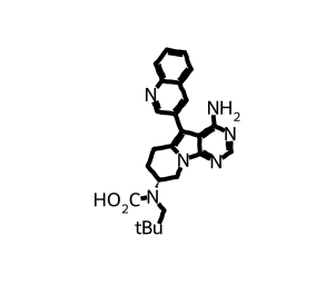 CC(C)(C)CN(C(=O)O)[C@@H]1CCc2c(-c3cnc4ccccc4c3)c3c(N)ncnc3n2C1